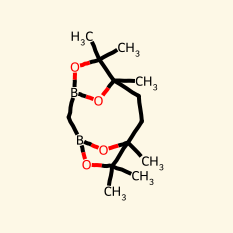 CC1(C)OB2CB3OC(C)(C)C(C)(CCC1(C)O2)O3